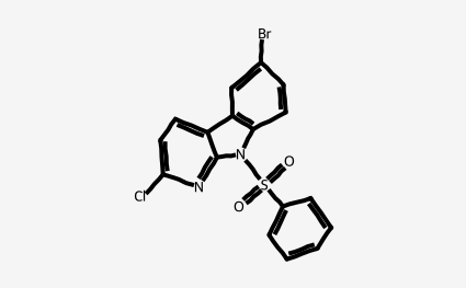 O=S(=O)(c1ccccc1)n1c2ccc(Br)cc2c2ccc(Cl)nc21